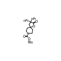 CCCC1(CCC)CC2(CCN(C(=O)OC(C)(C)C)CC2)OC1=O